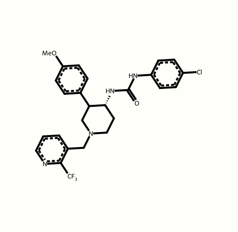 COc1ccc(C2CN(Cc3cccnc3C(F)(F)F)CC[C@H]2NC(=O)Nc2ccc(Cl)cc2)cc1